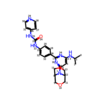 CC(C)Nc1cc(N2C3COCC2COC3)nc(-c2ccc(NC(=O)Nc3ccncc3)cc2)n1